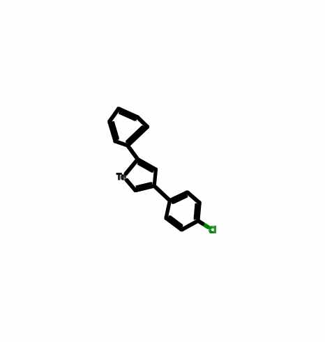 Clc1ccc(-c2c[te]c(-c3ccccc3)c2)cc1